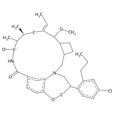 C/C=C1\C[C@H](C)C(C)[S+]([O-])NC(=O)c2ccc3c(c2)N(CC(c2ccc(Cl)cc2CCC)CO3)CC2CCC2C1OC